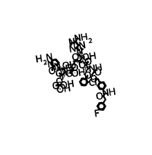 Nc1ccn([C@@H]2O[C@H](COP(=O)(O)O)[C@@H](OP(=O)(O)OC[C@H]3O[C@@H](n4cnc5c(N)ncnc54)[C@H](O)[C@@H]3OC(=O)[C@H](COc3ccccc3Cl)NC(=O)COCc3ccc(NC(=O)Cc4ccc(F)cc4)cc3)[C@H]2O)c(=O)n1